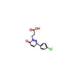 O=C(O)CCn1nc(-c2ccc(Cl)cc2)ccc1=O